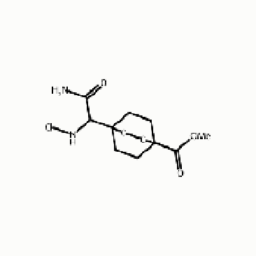 COC(=O)C12CCC(C(NCl)C(N)=O)(CC1)CC2